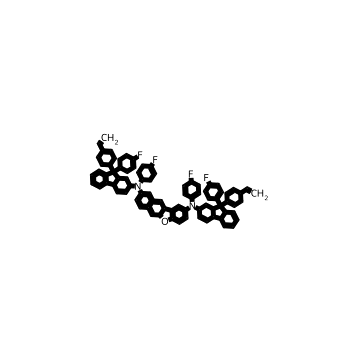 C=CC1=CCC(C2(C3CC=C(F)CC3)c3ccccc3C3C=CC(N(c4ccc5c(c4)=CC4c6cc(N(C7=CCC(F)C=C7)C7C=CC8C9C=CC=CC9C(C9=CCC(C=C)C=C9)(C9=CC=C(F)CC9)C8C7)ccc6OC4C=5)C4CC=C(F)CC4)CC32)CC1